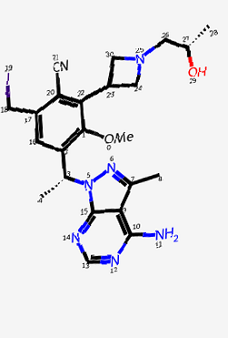 COc1c([C@@H](C)n2nc(C)c3c(N)ncnc32)cc(CI)c(C#N)c1C1CN(C[C@H](C)O)C1